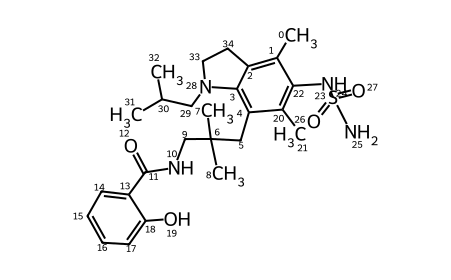 Cc1c2c(c(CC(C)(C)CNC(=O)c3ccccc3O)c(C)c1NS(N)(=O)=O)N(CC(C)C)CC2